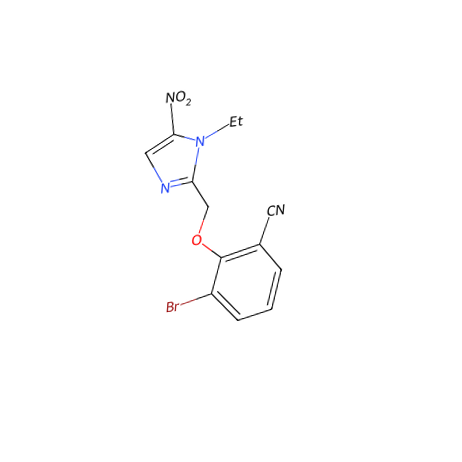 CCn1c([N+](=O)[O-])cnc1COc1c(Br)cccc1C#N